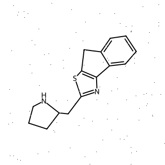 c1ccc2c(c1)Cc1sc(CC3CCCN3)nc1-2